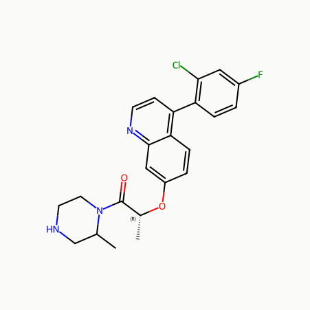 CC1CNCCN1C(=O)[C@@H](C)Oc1ccc2c(-c3ccc(F)cc3Cl)ccnc2c1